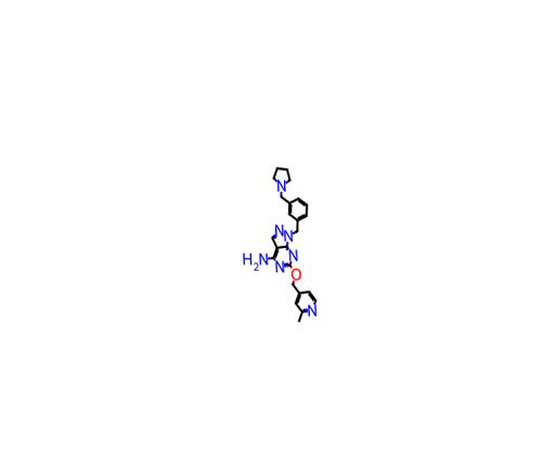 Cc1cc(COc2nc(N)c3cnn(Cc4cccc(CN5CCCC5)c4)c3n2)ccn1